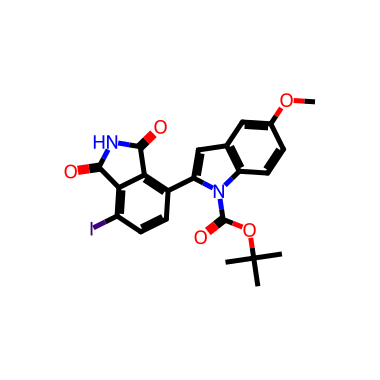 COc1ccc2c(c1)cc(-c1ccc(I)c3c1C(=O)NC3=O)n2C(=O)OC(C)(C)C